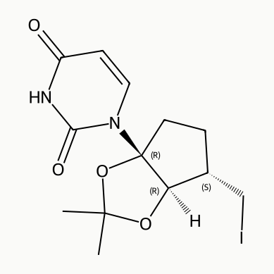 CC1(C)O[C@@H]2[C@@H](CI)CC[C@@]2(n2ccc(=O)[nH]c2=O)O1